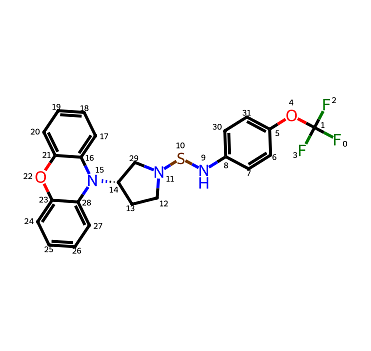 FC(F)(F)Oc1ccc(NSN2CC[C@H](N3c4ccccc4Oc4ccccc43)C2)cc1